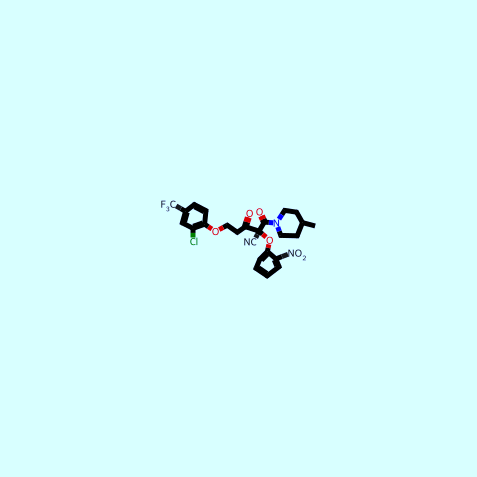 CC1CCN(C(=O)C(C#N)(Oc2ccccc2[N+](=O)[O-])C(=O)CCOc2ccc(C(F)(F)F)cc2Cl)CC1